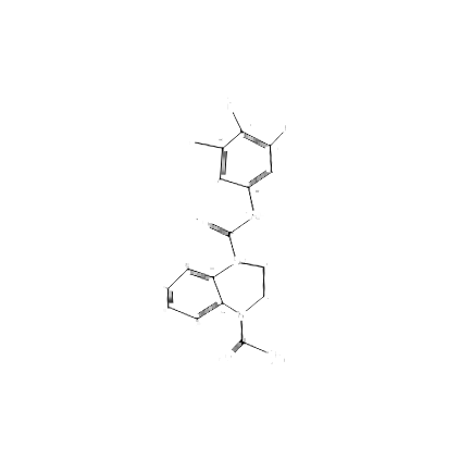 CC(=O)N1CCN(C(=O)Nc2cc(F)c(F)c(F)c2)c2ccccc21